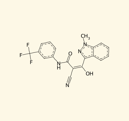 Cn1nc(C(O)=C(C#N)C(=O)Nc2cccc(C(F)(F)F)c2)c2ccccc21